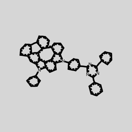 c1ccc(-c2nc(-c3ccccc3)nc(-c3ccc(-n4c5cccc6c7cccc8c7c7c9c-8cccc9cc8c7c7c(c65)c4ccc7n8-c4ccccc4)cc3)n2)cc1